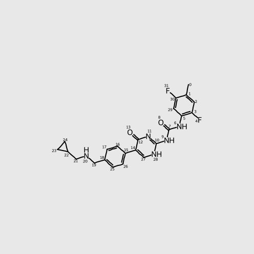 Cc1cc(F)c(NC(=O)Nc2nc(=O)c(-c3ccc(CNCC4CC4)cc3)c[nH]2)cc1F